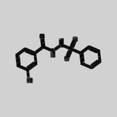 CCc1cccc(C(=O)NNS(=O)(=O)c2ccccc2)c1